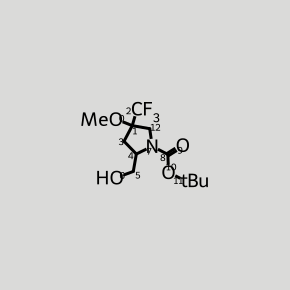 COC1(C(F)(F)F)CC(CO)N(C(=O)OC(C)(C)C)C1